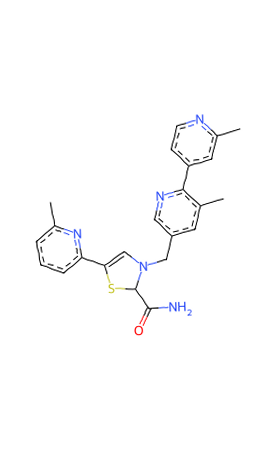 Cc1cc(-c2ncc(CN3C=C(c4cccc(C)n4)SC3C(N)=O)cc2C)ccn1